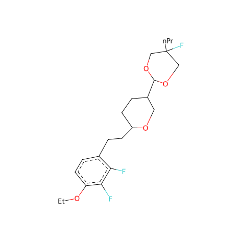 CCCC1(F)COC(C2CCC(CCc3ccc(OCC)c(F)c3F)OC2)OC1